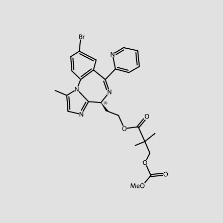 COC(=O)OCC(C)(C)C(=O)OCC[C@@H]1N=C(c2ccccn2)c2cc(Br)ccc2-n2c(C)cnc21